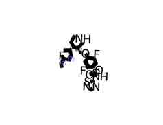 C=C(/C=C\C(F)=C/C)[C@@H]1CCNC[C@H]1COc1cc(F)c(S(=O)(=O)Nc2ncns2)cc1F